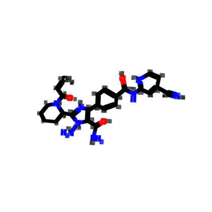 C=CC(=O)N1CCCCC1c1nc(-c2ccc(C(=O)Nc3cc(C#N)ccn3)cc2)c(C(N)=O)n1N